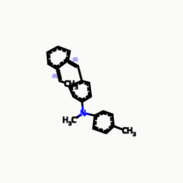 C/C=c1/cccc/c1=C/c1ccc(N(C)c2ccc(C)cc2)cc1